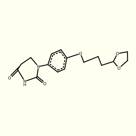 O=C1CCN(c2ccc(OCCCC3OCCO3)cc2)C(=O)N1